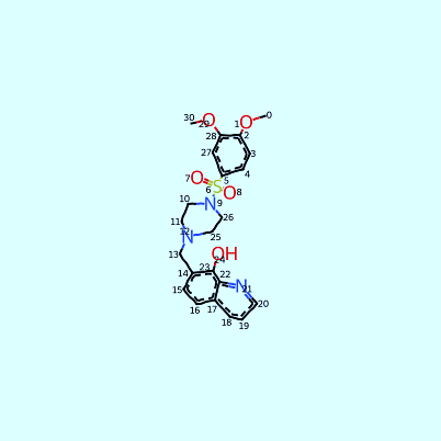 COc1ccc(S(=O)(=O)N2CCN(Cc3ccc4cccnc4c3O)CC2)cc1OC